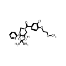 BC1(B)O[C@@H]2CN(C(=O)c3ccc(OCCOC(F)(F)F)c(Cl)c3)CC[C@]2(c2ccccn2)O1